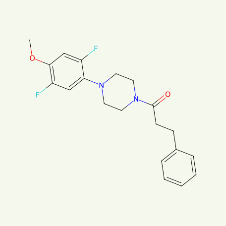 COc1cc(F)c(N2CCN(C(=O)CCc3ccccc3)CC2)cc1F